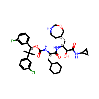 CC(C)(c1cccc(Cl)c1)[C@H](OC(=O)N[C@@H](CC1CCCCC1)C(=O)N[C@@H](C[C@@H]1CCNCOC1)C(O)C(=O)NC1CC1)c1cccc(F)c1